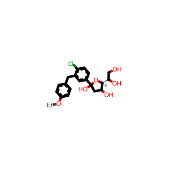 CCOc1ccc(Cc2cc(C3(O)CC(O)[C@@H](C(O)CO)O3)ccc2Cl)cc1